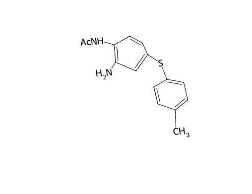 CC(=O)Nc1ccc(Sc2ccc(C)cc2)cc1N